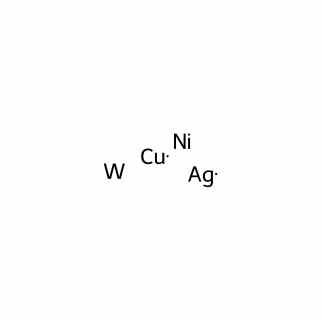 [Ag].[Cu].[Ni].[W]